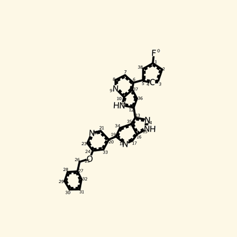 Fc1cccc(-c2ccnc3[nH]c(-c4n[nH]c5cnc(-c6cncc(OCc7ccccc7)c6)cc45)cc23)c1